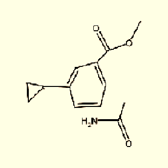 CC(N)=O.COC(=O)c1cccc([C]2CC2)c1